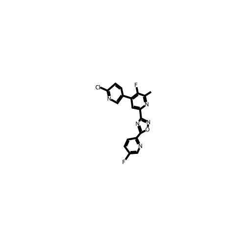 Cc1nc(-c2noc(-c3ccc(F)cn3)n2)cc(-c2ccc(Cl)nc2)c1F